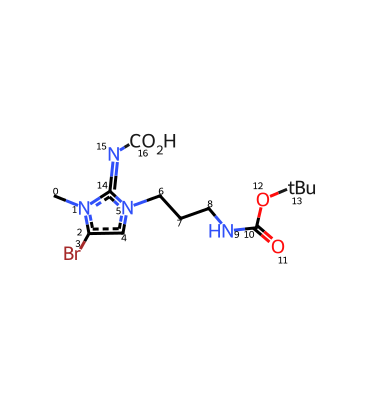 Cn1c(Br)cn(CCCNC(=O)OC(C)(C)C)c1=NC(=O)O